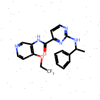 CC(Nc1nccc(C(=O)Nc2cnccc2OCC(F)(F)F)n1)c1ccccc1